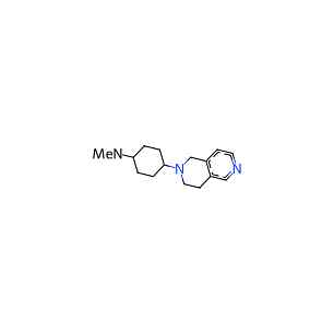 CNC1CCC(N2CCc3cnccc3C2)CC1